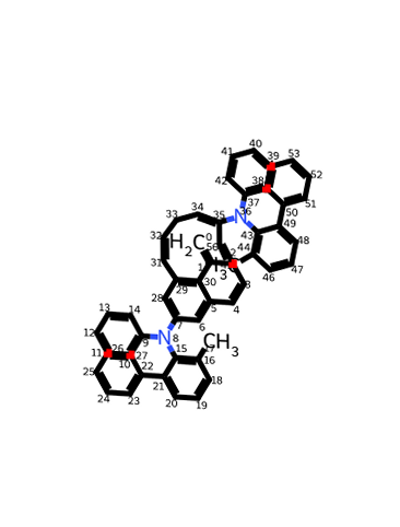 C=c1/c2ccc3cc(N(c4ccccc4)c4c(C)cccc4-c4ccccc4)cc(c13)/C=C\C/C=C(N(c1ccccc1)c1c(C)cccc1-c1ccccc1)\C=2